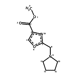 COC(=O)c1coc(CN2CCCC2)n1